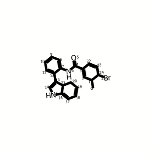 CC1C=C(C(=O)Nc2ccccc2C2=CNC3=CC=CCC32)C=CC1Br